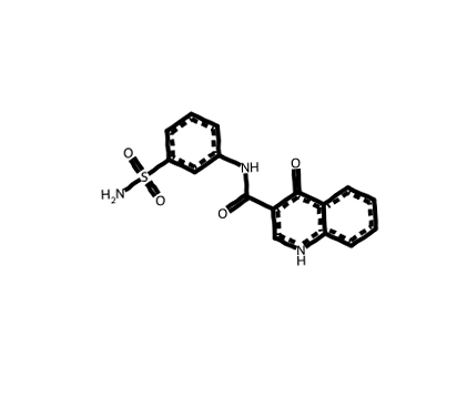 NS(=O)(=O)c1cccc(NC(=O)c2c[nH]c3ccccc3c2=O)c1